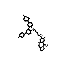 Cc1ccc(-c2ccc3c(c2)c2cc(-c4ccc(C)cc4)ccc2n3CCCCOc2cc3c(cc2C)C(=O)N2CCC[C@H]2C=N3)cc1